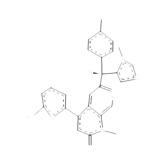 C=C(/C=c1/c(-c2cccc(C#N)n2)cc(=O)n(C)/c1=C/N)[C@](N)(c1ccc(Cl)cc1)c1cncn1C